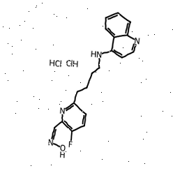 Cl.Cl.O/N=C\c1nc(CCCCNc2ccnc3ccccc23)ccc1F